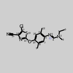 CCN(C)/C=N/c1cc(C)c(Oc2nc(C#N)c(Cl)s2)cc1C